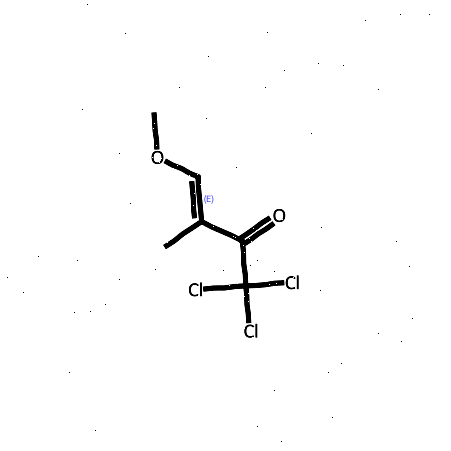 CO/C=C(\C)C(=O)C(Cl)(Cl)Cl